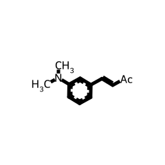 CC(=O)C=Cc1cccc(N(C)C)c1